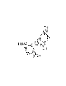 O=C(O)CN1CCOCCN(CC(=O)O)CCN(Cc2cccc(CN3CCN(CC(=O)O)CCOCCN(CC(=O)O)CC3)c2)CC1